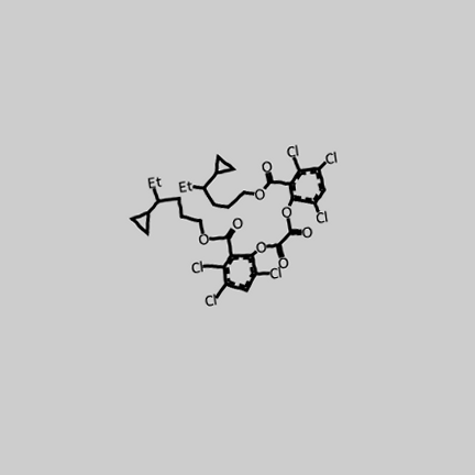 CCC(CCCOC(=O)c1c(Cl)c(Cl)cc(Cl)c1OC(=O)C(=O)Oc1c(Cl)cc(Cl)c(Cl)c1C(=O)OCCCC(CC)C1CC1)C1CC1